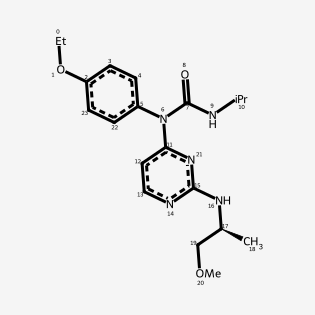 CCOc1ccc(N(C(=O)NC(C)C)c2ccnc(N[C@@H](C)COC)n2)cc1